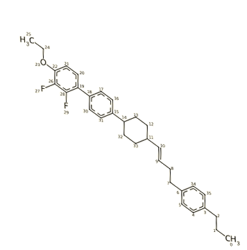 CCCc1ccc(CCC=CC2CCC(c3ccc(-c4ccc(OCC)c(F)c4F)cc3)CC2)cc1